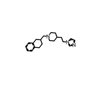 c1ccc2c(c1)CCC(CN1CCC(CCn3ccnc3)CC1)C2